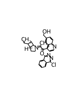 C=CC1CC2[C@H]1CCN2[C@@H](C)[C@H](Oc1nnc(Cl)c2ccccc12)c1ccnc2ccc(CO)cc12